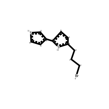 BrCCCc1ccc(-c2ccsc2)s1